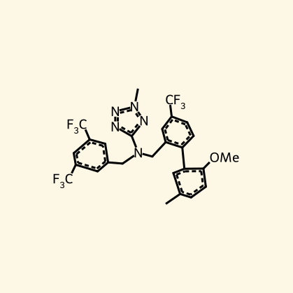 COc1ccc(C)cc1-c1ccc(C(F)(F)F)cc1CN(Cc1cc(C(F)(F)F)cc(C(F)(F)F)c1)c1nnn(C)n1